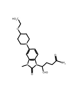 Cn1c(=O)n(C(C=O)CCC(N)=O)c2ccc(N3CCC(OCC(=O)O)CC3)cc21